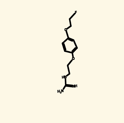 N=C(N)NCCOc1ccc(OCCF)cc1